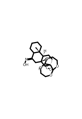 C[C@]12CCCCC1C(=NO)C[C@@H]1[C@@H]2CC[C@]23C4OCCOC2(CC[C@@H]13)OCCO4